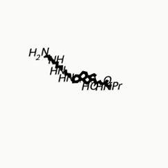 CC(C)NC(=O)CC[C@@H](O)[C@H]1CCC2C3CCC4C[C@@H](NCCCNCCCCNCCCN)CC[C@]4(C)C3CC[C@@]21C